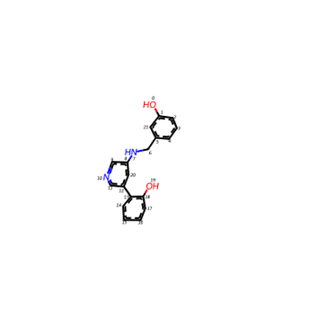 Oc1cccc(CNc2cncc(-c3ccccc3O)c2)c1